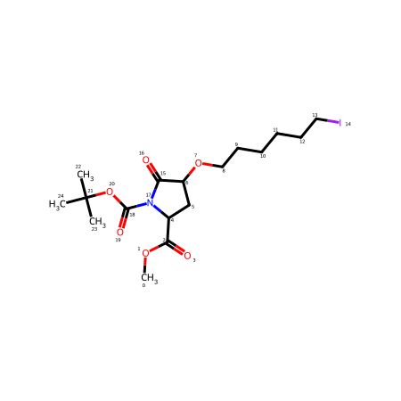 COC(=O)C1CC(OCCCCCCI)C(=O)N1C(=O)OC(C)(C)C